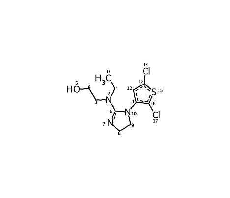 CCN(CCO)C1=NCCN1c1cc(Cl)sc1Cl